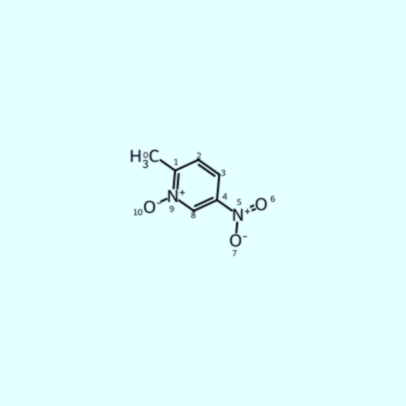 Cc1ccc([N+](=O)[O-])c[n+]1[O-]